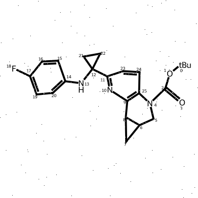 CC(C)(C)OC(=O)N1CC2CC2c2nc(C3(Nc4ccc(F)cc4)CC3)ccc21